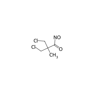 CC(CCl)(CCl)C(=O)N=O